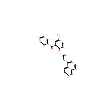 O=C(Cc1cccc2ccccc12)Nc1ccc([N+](=O)[O-])cc1C(=O)c1ccccc1